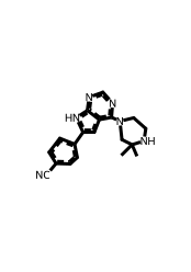 CC1(C)CN(c2ncnc3[nH]c(-c4ccc(C#N)cc4)cc23)CCN1